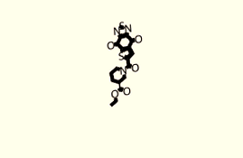 CCOC(=O)[C@H]1CCCN(C(=O)c2cc3c(s2)C(=O)c2nsnc2C3=O)C1